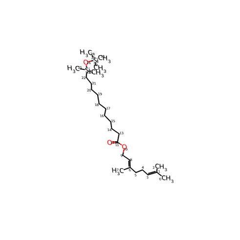 CC(C)=CCCC(C)=CCOC(=O)CCCCCCCCCC[Si](C)(C)O[Si](C)(C)C